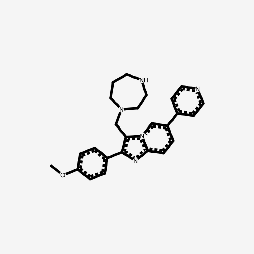 COc1ccc(-c2nc3ccc(-c4ccncc4)cn3c2CN2CCCNCC2)cc1